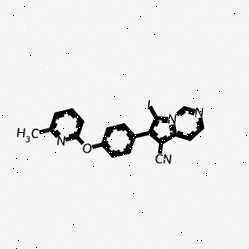 Cc1cccc(Oc2ccc(-c3c(C#N)c4ccncn4c3I)cc2)n1